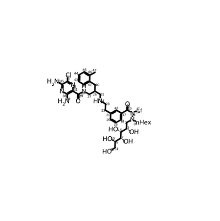 CCCCCCN(C[C@H](O)[C@@H](O)[C@H](O)[C@H](O)CO)N(CC)C(=O)c1cccc(CCNCC(CNC(=O)c2nc(Cl)c(N)nc2N)Cc2ccccc2C)c1